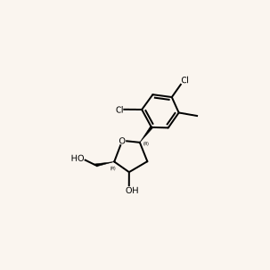 Cc1cc([C@H]2CC(O)[C@@H](CO)O2)c(Cl)cc1Cl